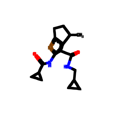 CC1CCc2sc(NC(=O)C3CC3)c(C(=O)NCC3CC3)c21